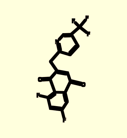 O=C1C=C(Cc2ccc(C(F)(F)F)cn2)C(=O)c2c(F)cc(F)cc21